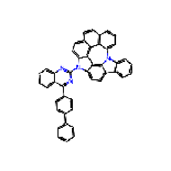 c1ccc(-c2ccc(-c3nc(-n4c5ccc6ccc7cccc8c7c6c5c5c4ccc4c6ccccc6n8c45)nc4ccccc34)cc2)cc1